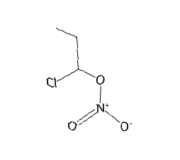 CCC(Cl)O[N+](=O)[O-]